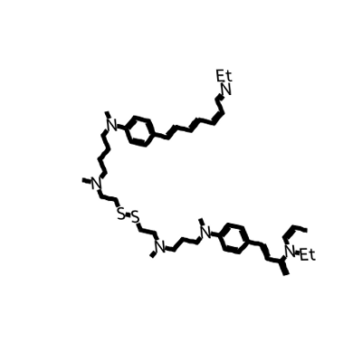 C=C(/C=C/c1ccc(N(C)CCCN(C)CCSSCCN(C)CCCCN(C)c2ccc(/C=C/C=C/C=C\C=N\CC)cc2)cc1)N(/C=C\C)CC